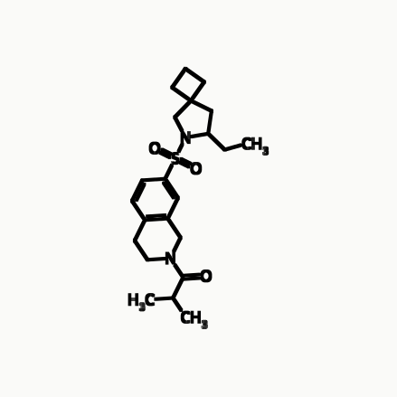 CCC1CC2(CCC2)CN1S(=O)(=O)c1ccc2c(c1)CN(C(=O)C(C)C)CC2